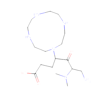 CN(C)C(CN)C(=O)C(CCC(=O)O)N1CCNCCNCCNCC1